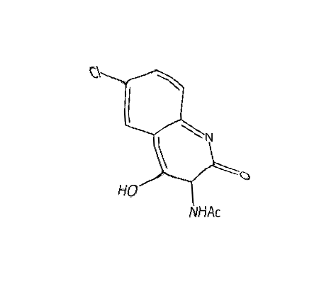 CC(=O)NC1C(=O)N=c2ccc(Cl)cc2=C1O